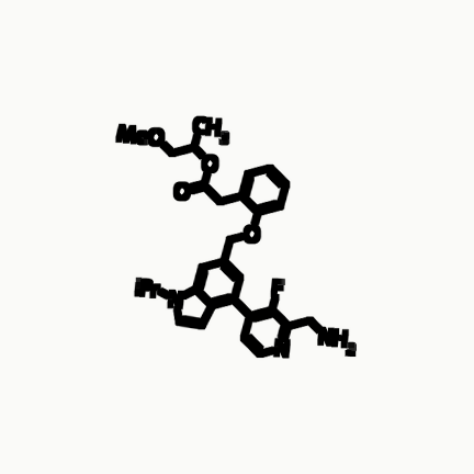 COCC(C)OC(=O)Cc1ccccc1OCc1cc(-c2ccnc(CN)c2F)c2ccn(C(C)C)c2c1